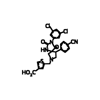 N#Cc1ccc(C2CN(Cc3cc(C(=O)O)cs3)CC23NC(=O)N(c2cc(Cl)cc(Cl)c2)C3=O)cc1